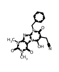 Cn1c(=O)c2c(nc3n(Cc4ccccc4)c(=O)c(CC#N)c(O)n23)n(C)c1=O